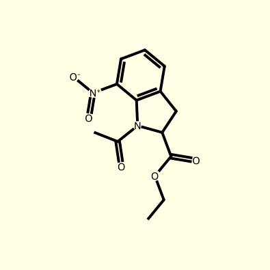 CCOC(=O)C1Cc2cccc([N+](=O)[O-])c2N1C(C)=O